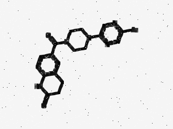 CC(=O)c1cnc(N2CCN(C(=O)c3ccc4c(c3)CCC(=O)N4)CC2)cn1